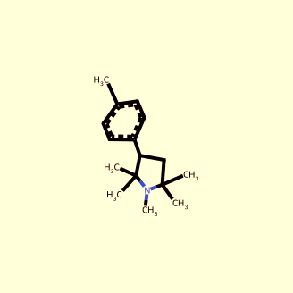 Cc1ccc(C2CC(C)(C)N(C)C2(C)C)cc1